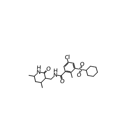 Cc1c(C(=O)NCC2C(=O)NC(C)CC2C)cc(Cl)cc1S(=O)(=O)C1CCCCC1